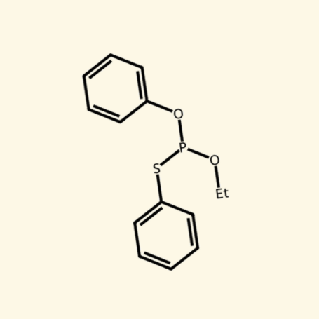 CCOP(Oc1ccccc1)Sc1ccccc1